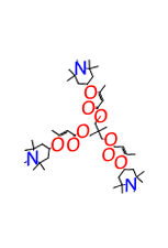 C/C(=C/C(=O)OCC(C)(COC(=O)/C=C(/C)OC1CC(C)(C)N(C)C(C)(C)C1)COC(=O)/C=C(/C)OC1CC(C)(C)N(C)C(C)(C)C1)OC1CC(C)(C)N(C)C(C)(C)C1